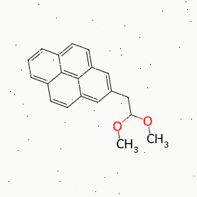 COC(Cc1cc2ccc3cccc4ccc(c1)c2c34)OC